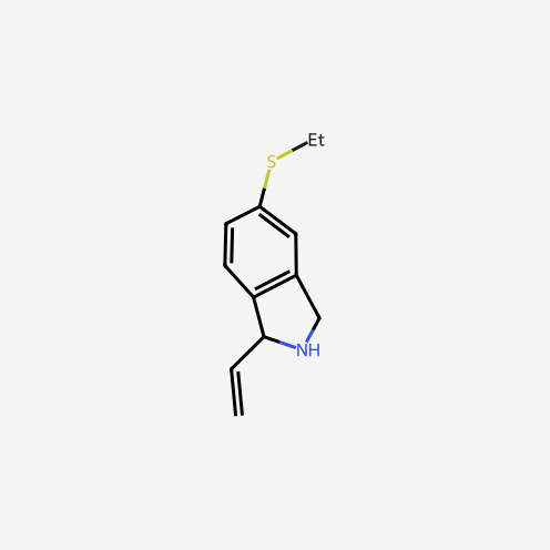 C=CC1NCc2cc(SCC)ccc21